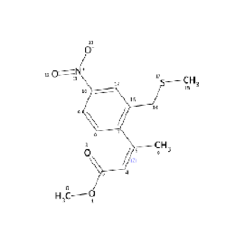 COC(=O)/C=C(/C)c1ccc([N+](=O)[O-])cc1CSC